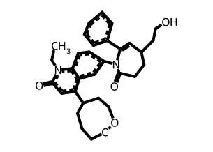 CCn1c(=O)cc(C2CCCCOCC2)c2cc(N3C(=O)CCC(CCO)C=C3c3ccccc3)ccc21